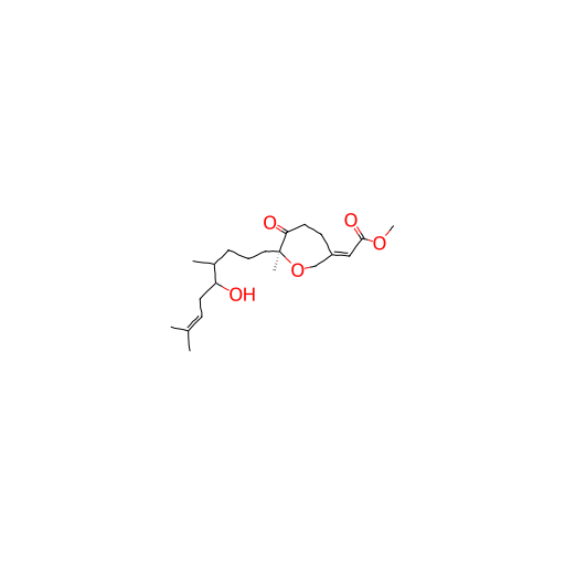 COC(=O)/C=C1\CCC(=O)[C@](C)(CCCC(C)C(O)CC=C(C)C)OC1